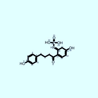 O=C(CCCc1ccc(O)cc1)C1=CC=C(O)CC1=NP(=O)(O)O